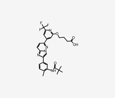 Cc1ccc(-c2cn3nc(-c4cc(OCCCC(=O)O)nc(C(F)(F)F)c4)ccc3n2)cc1NC(=O)C(C)(C)C